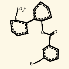 O=C(Oc1ccccc1-c1ccccc1C(=O)O)c1cccc(Br)c1